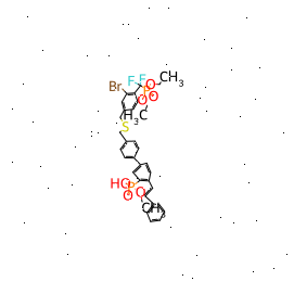 CCOP(=O)(O)c1cc(-c2ccc(CSCc3ccc(C(F)(F)P(=O)(OCC)OCC)c(Br)c3)cc2)ccc1C=Cc1ccccc1